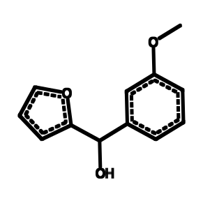 COc1cccc(C(O)c2ccco2)c1